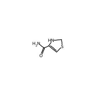 NC(=O)C1=CSCN1